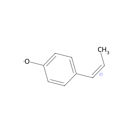 C/C=C\c1ccc([O])cc1